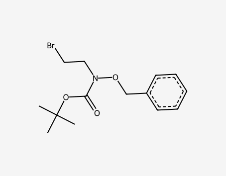 CC(C)(C)OC(=O)N(CCBr)OCc1ccccc1